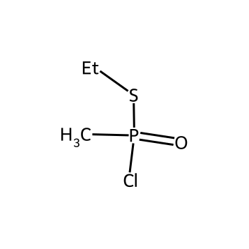 CCSP(C)(=O)Cl